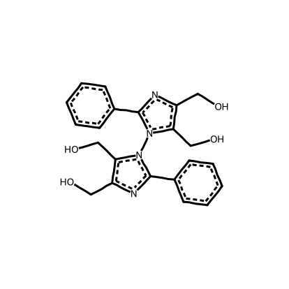 OCc1nc(-c2ccccc2)n(-n2c(-c3ccccc3)nc(CO)c2CO)c1CO